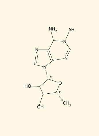 C[C@H]1O[C@@H](n2cnc3c2N=CN(S)C3N)C(O)C1O